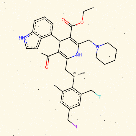 CCOC(=O)C1=C(CN2CCCCC2)NC(C[C@H](C)c2c(C)cc(CI)cc2CF)=C(C(C)=O)C1c1cccc2[nH]ccc12